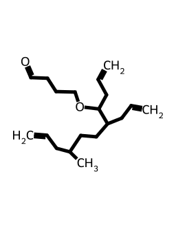 C=CCC(C)CCC(CC=C)C(CC=C)OCCCC=O